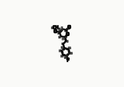 COC1=CC(=O)O[C@@H](CCc2ccc(F)cc2)C1